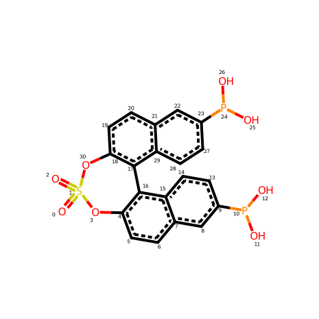 O=S1(=O)Oc2ccc3cc(P(O)O)ccc3c2-c2c(ccc3cc(P(O)O)ccc23)O1